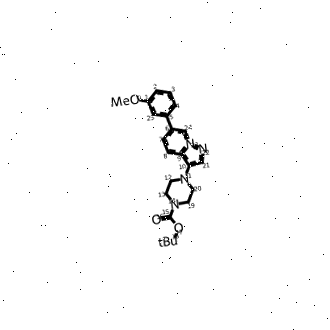 COc1cccc(-c2ccc3c(N4CCN(C(=O)OC(C)(C)C)CC4)cnn3c2)c1